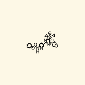 C[C@H]1COCCN1c1cc(C2(S(=O)(=O)C3CC3)CC2)nc(-c2ccc(NC(=O)Oc3ccccc3)nc2)n1